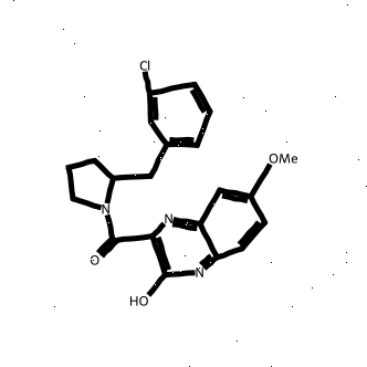 COc1ccc2nc(O)c(C(=O)N3CCCC3Cc3cccc(Cl)c3)nc2c1